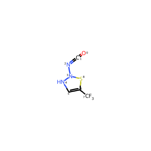 O=C=NN1NC=C(C(F)(F)F)S1